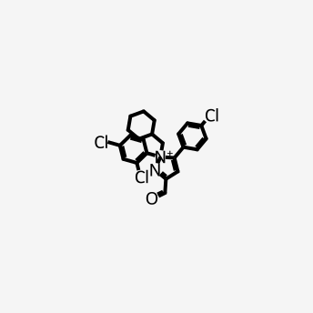 O=CC1=N[N+](CC2CCCCC2)(c2ccc(Cl)cc2Cl)C(c2ccc(Cl)cc2)=C1